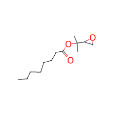 CCCCCCCC(=O)OC(C)(C)C1CO1